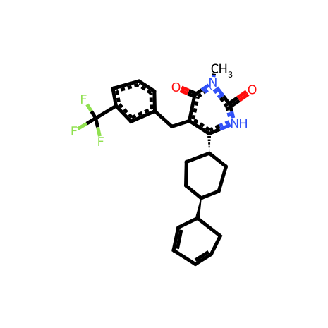 Cn1c(=O)[nH]c([C@H]2CC[C@H](C3C=CC=CC3)CC2)c(Cc2cccc(C(F)(F)F)c2)c1=O